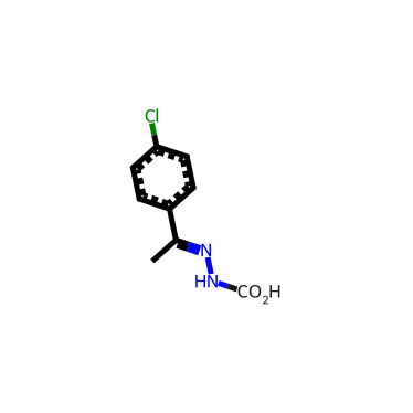 CC(=NNC(=O)O)c1ccc(Cl)cc1